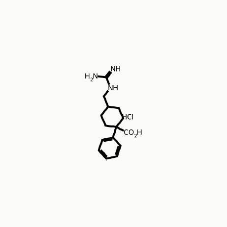 Cl.N=C(N)NCC1CCC(C(=O)O)(c2cc[c]cc2)CC1